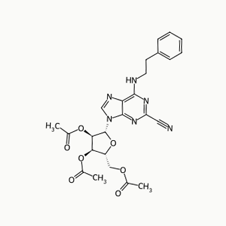 CC(=O)OC[C@H]1O[C@@H](n2cnc3c(NCCc4ccccc4)nc(C#N)nc32)[C@H](OC(C)=O)[C@@H]1OC(C)=O